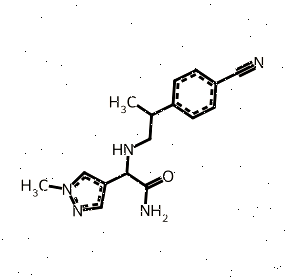 CC(CNC(C(N)=O)c1cnn(C)c1)c1ccc(C#N)cc1